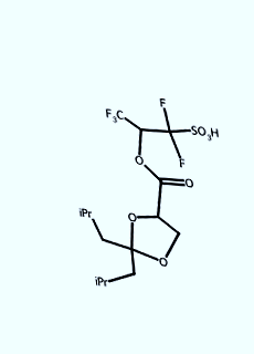 CC(C)CC1(CC(C)C)OCC(C(=O)OC(C(F)(F)F)C(F)(F)S(=O)(=O)O)O1